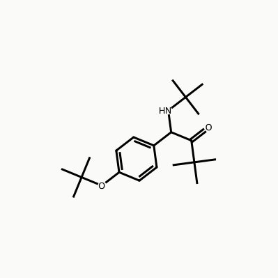 CC(C)(C)NC(C(=O)C(C)(C)C)c1ccc(OC(C)(C)C)cc1